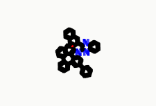 c1ccc(-c2cc3c4c5c6c(cccc6ccc5n(-c5nc6ccccc6nc5-c5ccc6ccccc6c5)c4c2)-c2ccccc2-3)cc1